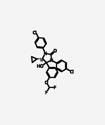 O=C1N(c2ccc(Cl)cc2)[C@@H](C2CC2)C(O)(c2cccc(OC(F)F)c2)N1c1ccc(Cl)cc1